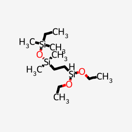 CCO[SiH](CC[Si](C)(C)O[Si](C)(C)CC)OCC